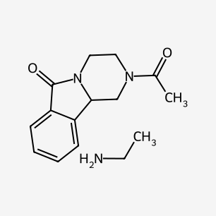 CC(=O)N1CCN2C(=O)c3ccccc3C2C1.CCN